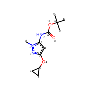 Cn1nc(OC2CC2)cc1NC(=O)OC(C)(C)C